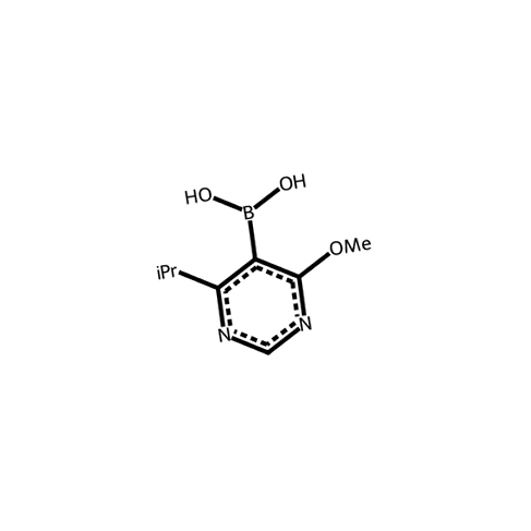 COc1ncnc(C(C)C)c1B(O)O